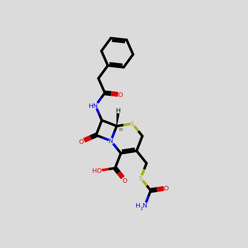 NC(=O)SCC1=C(C(=O)O)N2C(=O)C(NC(=O)CC3=CCC=CC3)[C@@H]2SC1